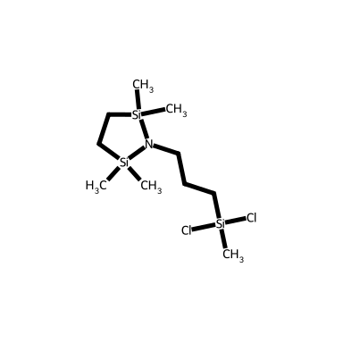 C[Si](Cl)(Cl)CCCN1[Si](C)(C)CC[Si]1(C)C